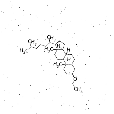 CCO[C@H]1CC[C@@]2(C)C(CC[C@H]3[C@@H]4CC[C@H]([C@H](C)CCCC(C)C)[C@@]4(C)CC[C@@H]32)C1